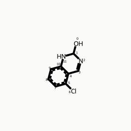 OC1N=Cc2c(Cl)cccc2N1